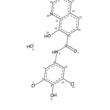 Cl.O=C(Nc1cc(Cl)c(O)c(Cl)c1)c1ccc2cccnc2c1O